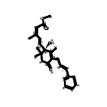 COC(=O)/C=C(C)\C=C\[C@@]1(O)C(C)=C(C/C=C/c2ccccc2)C(=O)CC1(C)C